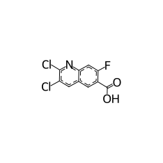 O=C(O)c1cc2cc(Cl)c(Cl)nc2cc1F